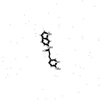 CC(C)(C)c1ccc(CCC(=O)Nc2ccc3cc[nH]c3c2)cn1